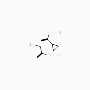 C=C(C(=O)O)C1CC1.C=C(CC(C)C)C(=O)O